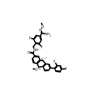 CON=C(N)c1cc(F)c(CNC(=O)c2ccc3c(c2)[C@H](C)c2cc(-c4ccc(F)cc4F)ccc2[C@@H]3OC)c(F)c1